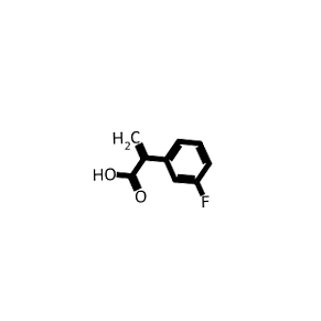 C=C(C(=O)O)c1cccc(F)c1